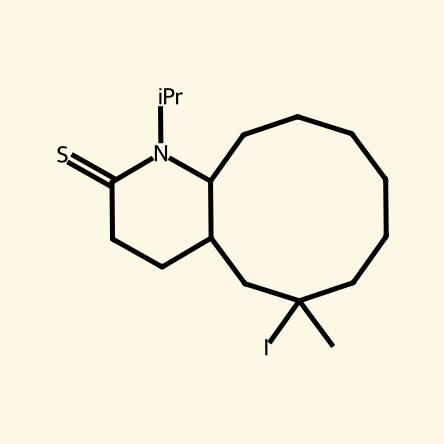 CC(C)N1C(=S)CCC2CC(C)(I)CCCCCCC21